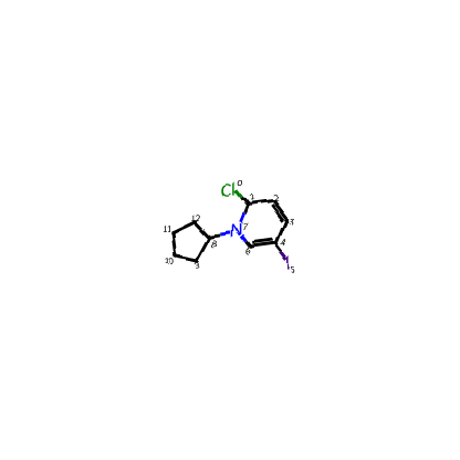 ClC1C=CC(I)=CN1C1CCCC1